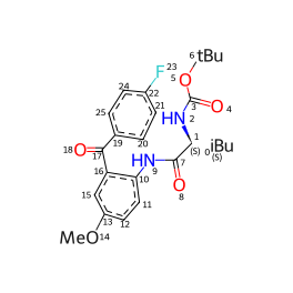 CC[C@H](C)[C@H](NC(=O)OC(C)(C)C)C(=O)Nc1ccc(OC)cc1C(=O)c1ccc(F)cc1